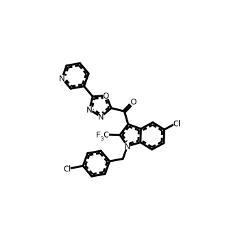 O=C(c1nnc(-c2cccnc2)o1)c1c(C(F)(F)F)n(Cc2ccc(Cl)cc2)c2ccc(Cl)cc12